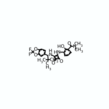 CN(C)C(=O)c1cccc(Nc2c(N[C@@H](c3ccc4c(c3)OC(F)(F)O4)C(C)(C)C)c(=O)c2=O)c1O